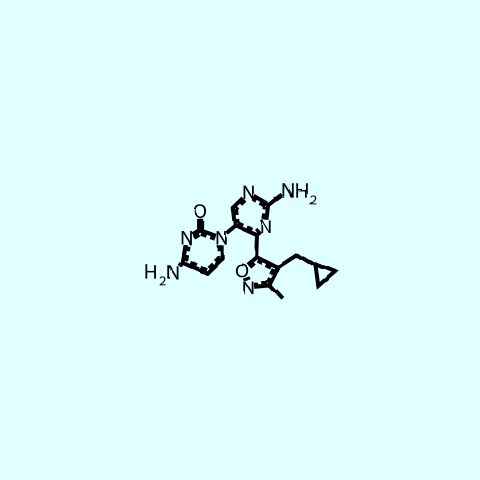 Cc1noc(-c2nc(N)ncc2-n2ccc(N)nc2=O)c1CC1CC1